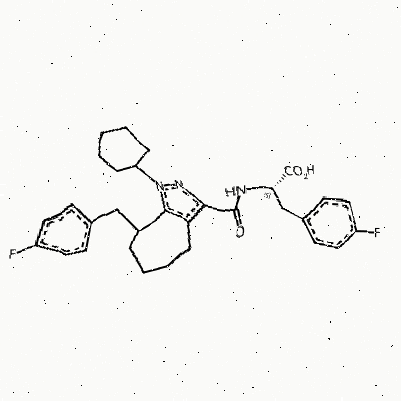 O=C(N[C@@H](Cc1ccc(F)cc1)C(=O)O)c1nn(C2CCCCC2)c2c1CCCCC2Cc1ccc(F)cc1